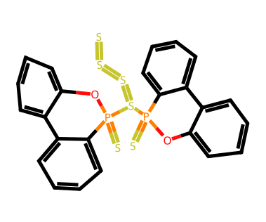 S=S=S=S(P1(=S)Oc2ccccc2-c2ccccc21)P1(=S)Oc2ccccc2-c2ccccc21